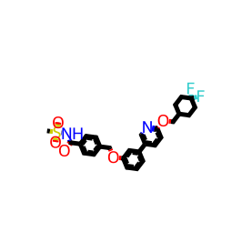 CS(=O)(=O)NC(=O)c1ccc(COc2cccc(-c3ccc(OCC4CCC(F)(F)CC4)nc3)c2)cc1